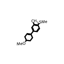 COC1CC=C(c2ccc(SC)c(C)c2)CC1